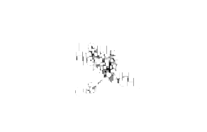 CCNc1nc(C#Cc2ccc(Cl)s2)nc2c1nc(C(F)(F)F)n2C1C(O)C(O)C2(C(O)NC)CC12